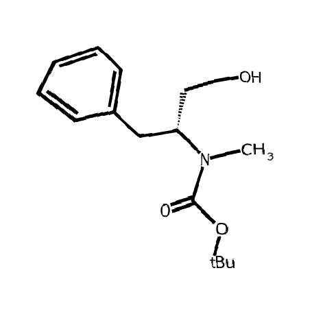 CN(C(=O)OC(C)(C)C)[C@@H](CO)Cc1ccccc1